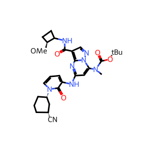 CO[C@H]1CCC1NC(=O)c1cnn2c(N(C)C(=O)OC(C)(C)C)cc(Nc3cccn([C@H]4CCC[C@@H](C#N)C4)c3=O)nc12